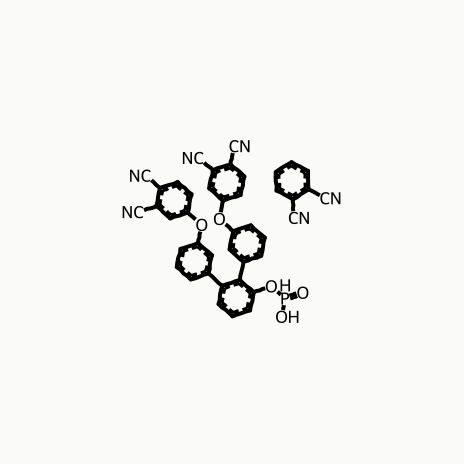 N#Cc1ccc(Oc2cccc(-c3cccc(O[PH](=O)O)c3-c3cccc(Oc4ccc(C#N)c(C#N)c4)c3)c2)cc1C#N.N#Cc1ccccc1C#N